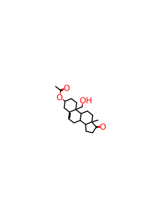 CC(=O)OC1CCC2(CO)C(=CCC3C4CCC(=O)C4(C)CCC32)C1